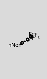 CCCCCCCCC[C@H]1CC[C@H](C=C[C@H]2CC[C@H](c3cc(F)c(C(F)(F)F)c(F)c3)CC2)CC1